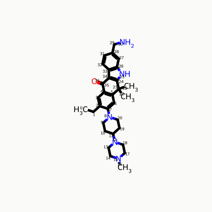 CCc1cc2c(cc1N1CCC(N3CCN(C)CC3)CC1)C(C)(C)c1[nH]c3cc(CN)ccc3c1C2=O